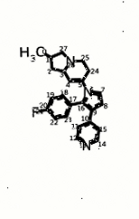 CC1CC2C=C(n3ccc(-c4ccncc4)c3-c3ccc(F)cc3)CCN2C1